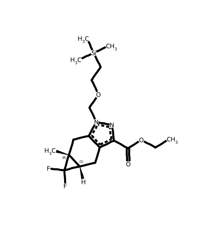 CCOC(=O)c1nn(COCC[Si](C)(C)C)c2c1C[C@@H]1C(F)(F)[C@]1(C)C2